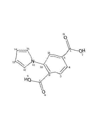 O=C(O)c1ccc(C(=O)O)c(-n2cccc2)c1